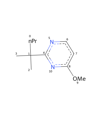 CCCC(C)(C)c1nccc(OC)n1